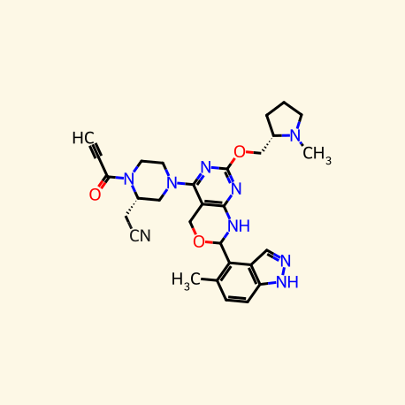 C#CC(=O)N1CCN(c2nc(OC[C@@H]3CCCN3C)nc3c2COC(c2c(C)ccc4[nH]ncc24)N3)C[C@@H]1CC#N